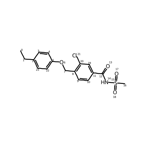 CCc1ccc(OCc2ccc(C(=O)NS(C)(=O)=O)cc2Cl)cc1